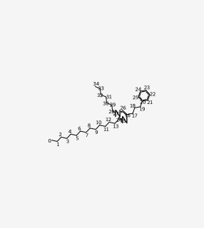 CCCCCCCCCCCCCCc1nc(CCCc2ccccc2)cn1CCCCCCC